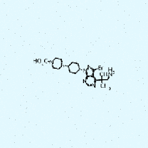 CC(C)(CN)c1ncnc2c1c(Br)nn2[C@H]1CC[C@H](N2CCN(C(=O)O)CC2)CC1